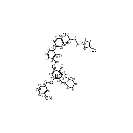 CC[C@@H]1CCN(CCC2COc3ccc(-c4cccc(COc5cc(OCc6cncc(C#N)c6)c(CN6CCCC[C@H]6C(=O)O)cc5Cl)c4C)cc3O2)C1